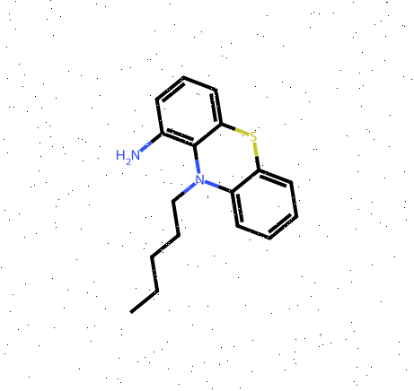 CCCCCN1c2ccccc2Sc2cccc(N)c21